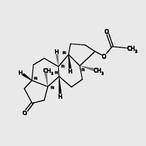 CC(=O)OC1CC[C@H]2[C@@H]3CC[C@H]4CC(=O)C[C@]4(C)[C@H]3CC[C@]12C